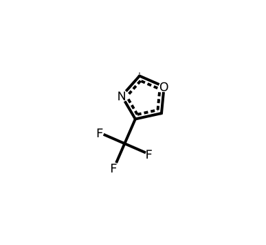 FC(F)(F)c1co[c]n1